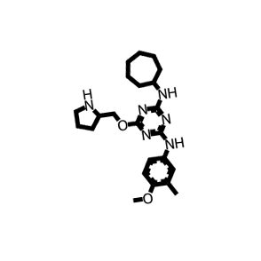 COc1ccc(Nc2nc(NC3CCCCCC3)nc(OCC3CCCN3)n2)cc1C